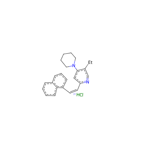 CCc1cnc(/C=C\c2cccc3ccccc23)cc1N1CCCCC1.Cl